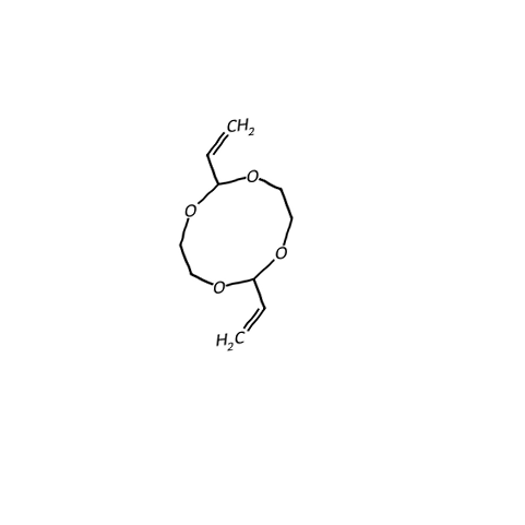 C=CC1OCCOC(C=C)OCCO1